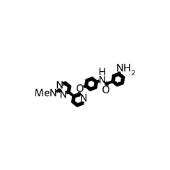 CNc1nccc(-c2cccnc2Oc2ccc(NC(=O)c3cccc(N)c3)cc2)n1